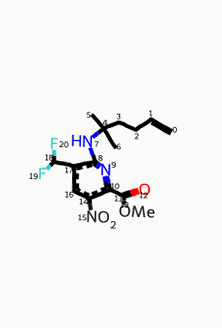 C=CCCC(C)(C)Nc1nc(C(=O)OC)c([N+](=O)[O-])cc1C(F)F